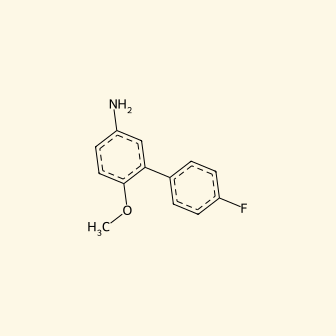 COc1ccc(N)cc1-c1ccc(F)cc1